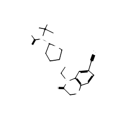 CC(C)(C)N(C(=O)O)[C@H]1CC[C@H](CCN2C(=O)COc3ccc(C#N)cc32)CC1